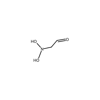 O=CCN(O)O